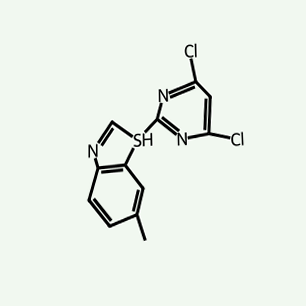 Cc1ccc2c(c1)[SH](c1nc(Cl)cc(Cl)n1)C=N2